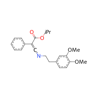 COc1ccc(CCN=C=C(C(=O)OC(C)C)c2ccccc2)cc1OC